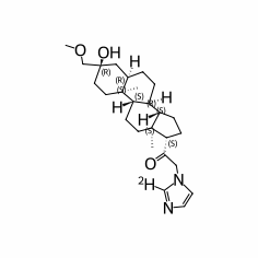 [2H]c1nccn1CC(=O)[C@H]1CC[C@H]2[C@@H]3CC[C@@H]4C[C@@](O)(COC)CC[C@]4(C)[C@H]3CC[C@]12C